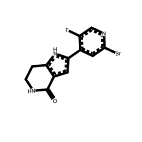 O=C1NCCc2[nH]c(-c3cc(Br)ncc3F)cc21